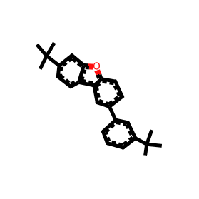 CC(C)(C)c1cccc(-c2ccc3oc4cc(C(C)(C)C)ccc4c3c2)c1